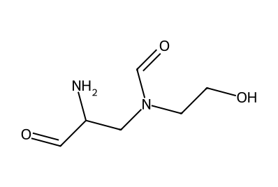 NC(C=O)CN(C=O)CCO